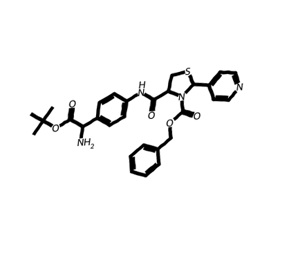 CC(C)(C)OC(=O)C(N)c1ccc(NC(=O)C2CSC(c3ccncc3)N2C(=O)OCc2ccccc2)cc1